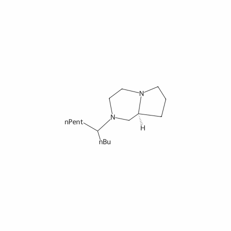 CCCCCC(CCCC)N1CCN2CCC[C@H]2C1